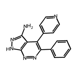 Nc1n[nH]c2nnc(-c3ccccc3)c(-c3ccncc3)c12